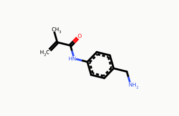 C=C(C)C(=O)Nc1ccc(CN)cc1